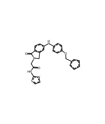 O=C(CN1Cc2cc(Nc3ccc(OCc4ccccc4)cc3)ccc2C1=O)Nc1nccs1